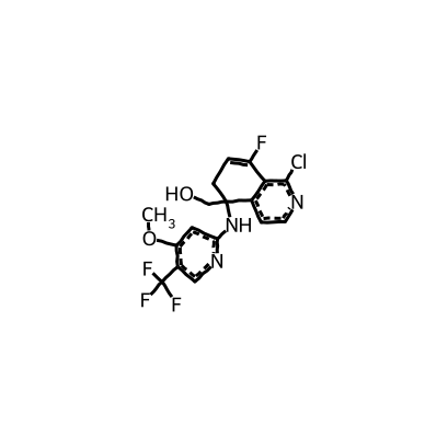 COc1cc(NC2(CO)CC=C(F)c3c2ccnc3Cl)ncc1C(F)(F)F